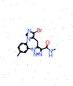 CNC(=O)c1nnn2c1Cc1c(Br)ncn1-c1ccc(C)cc1-2